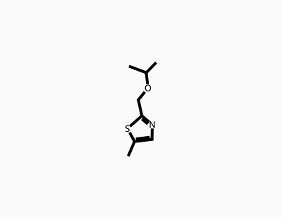 Cc1cnc(COC(C)C)s1